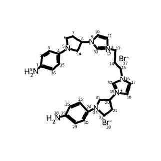 Nc1ccc(N2CCC(n3cc[n+](CCCn4cc[n+](C5CCN(c6ccc(N)cc6)C5)c4)c3)C2)cc1.[Br-].[Br-]